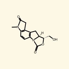 CN1C(=O)Cc2c1ccc1c2C[C@H]2[C@H](CO)OC(=O)N12